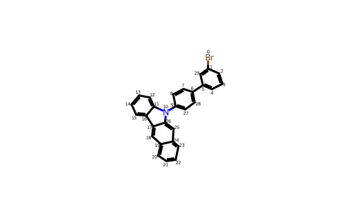 Brc1cccc(-c2ccc(-n3c4ccccc4c4cc5ccccc5cc43)cc2)c1